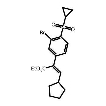 CCOC(=O)C(=CC1CCCC1)c1ccc(S(=O)(=O)C2CC2)c(Br)c1